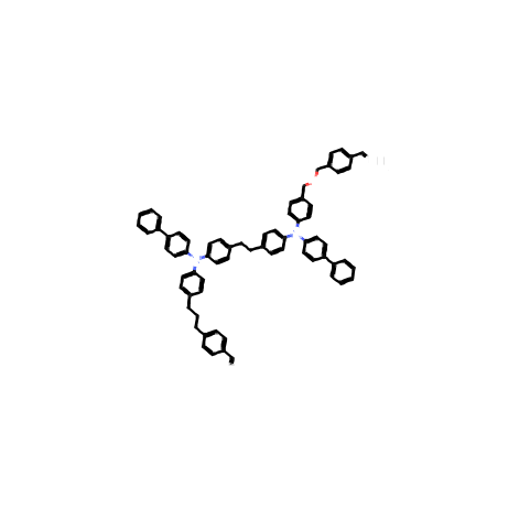 C=Cc1ccc(CCCc2ccc(N(c3ccc(CCc4ccc(N(c5ccc(COCc6ccc(C=C)cc6)cc5)c5ccc(-c6ccccc6)cc5)cc4)cc3)c3ccc(-c4ccccc4)cc3)cc2)cc1